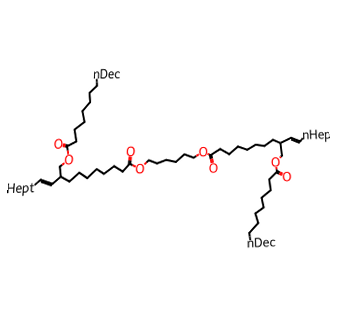 CCCCCCC/C=C/C(CCCCCCCC(=O)OCCCCCCOC(=O)CCCCCCCC(/C=C/CCCCCCC)COC(=O)CCCCCCCCCCCCCCCCC)COC(=O)CCCCCCCCCCCCCCCCC